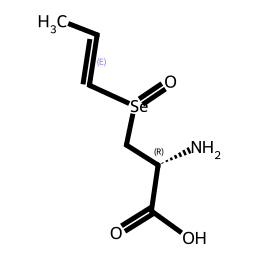 C/C=C/[Se](=O)C[C@H](N)C(=O)O